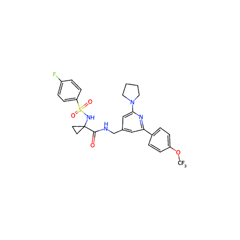 O=C(NCc1cc(-c2ccc(OC(F)(F)F)cc2)nc(N2CCCC2)c1)C1(NS(=O)(=O)c2ccc(F)cc2)CC1